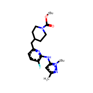 Cc1cc(Nc2nc(CC3CCN(C(=O)OC(C)(C)C)CC3)ccc2F)n(C(C)(C)C)n1